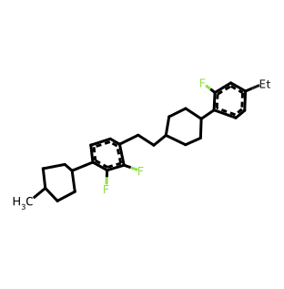 CCc1ccc(C2CCC(CCc3ccc(C4CCC(C)CC4)c(F)c3F)CC2)c(F)c1